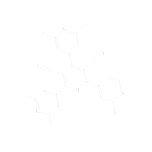 N#Cc1c(-c2cc(F)nc(F)c2)nc(-c2cc(F)nc(F)c2)c(C#N)c1-c1cc(F)nc(F)c1